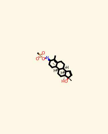 CC1=C2CC[C@@H]3[C@H](CC[C@@]4(C)[C@H]3C=C[C@]4(C)O)[C@@]2(C)CC/C1=N\OS(C)(=O)=O